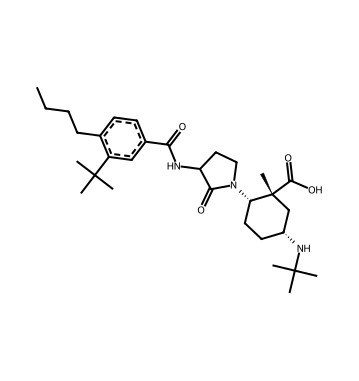 CCCCc1ccc(C(=O)NC2CCN([C@H]3CC[C@@H](NC(C)(C)C)C[C@@]3(C)C(=O)O)C2=O)cc1C(C)(C)C